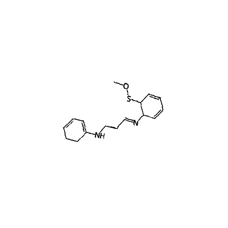 COSC1C=CC=CC1/N=C/CCNC1=CC=CCC1